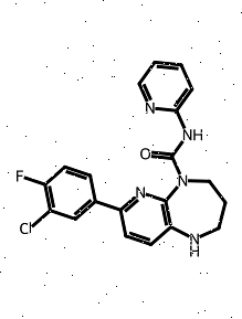 O=C(Nc1ccccn1)N1CCCNc2ccc(-c3ccc(F)c(Cl)c3)nc21